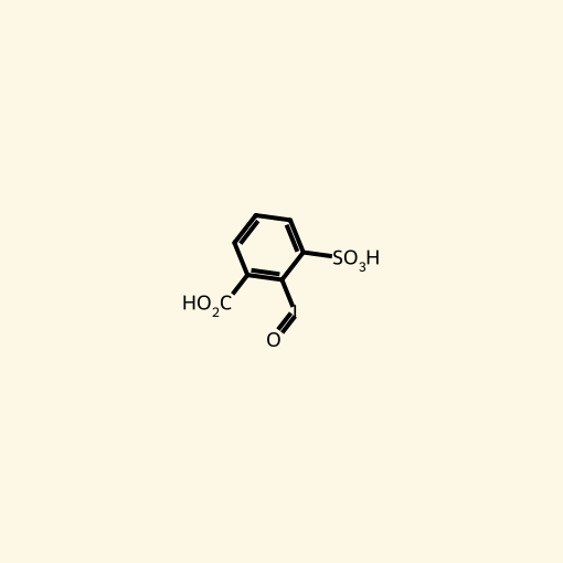 O=Ic1c(C(=O)O)cccc1S(=O)(=O)O